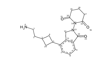 NCCC1CC(c2cccc3c2CN(N2C(=O)CCCC2=O)C3=O)C1